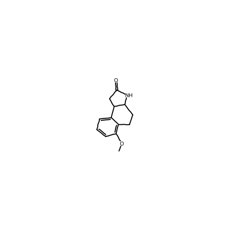 COc1cccc2c1CCC1NC(=O)CC21